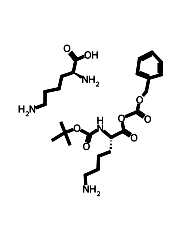 CC(C)(C)OC(=O)N[C@@H](CCCCN)C(=O)OC(=O)OCc1ccccc1.NCCCC[C@H](N)C(=O)O